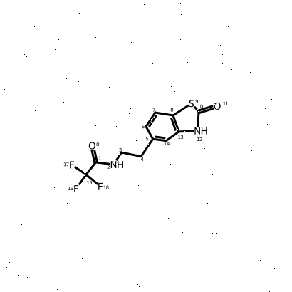 O=C(NCCc1ccc2sc(=O)[nH]c2c1)C(F)(F)F